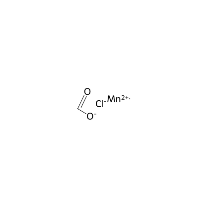 O=C[O-].[Cl-].[Mn+2]